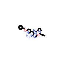 CC#CC(=O)N1CCC[C@H]1c1nc(-c2ccc(OCc3ccccc3)nc2)c2c(N)nccn12